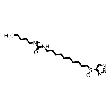 CCCCCNC(=O)NCCCC/C=C/CCCC[S+]([O-])C1=NN=NC1